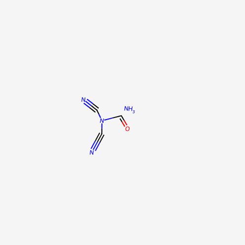 N.N#CN(C#N)C=O